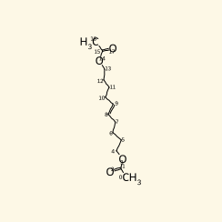 CC(=O)OCCCCC=CCCCCOC(C)=O